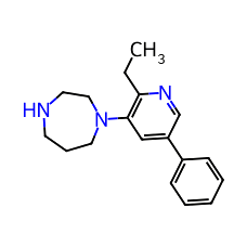 CCc1ncc(-c2ccccc2)cc1N1CCCNCC1